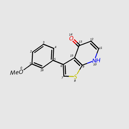 COc1cccc(-c2csc3[nH]ccc(=O)c23)c1